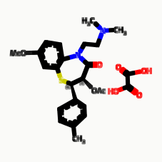 COc1ccc2c(c1)S[C@H](c1ccc(C)cc1)[C@H](OC(C)=O)C(=O)N2CCN(C)C.O=C(O)C(=O)O